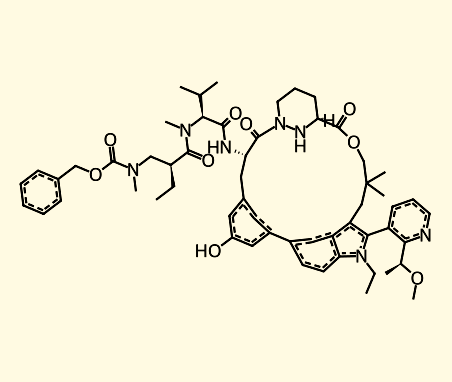 CC[C@@H](CN(C)C(=O)OCc1ccccc1)C(=O)N(C)[C@H](C(=O)N[C@H]1Cc2cc(O)cc(c2)-c2ccc3c(c2)c(c(-c2cccnc2[C@H](C)OC)n3CC)CC(C)(C)COC(=O)[C@@H]2CCCN(N2)C1=O)C(C)C